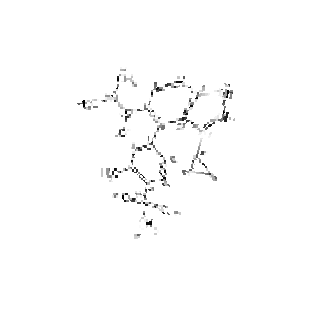 Cc1cc(-c2c([S+]([O-])N(C)C)ccc3[nH]nc(C4CC4)c23)ccc1S(C)(=O)=O